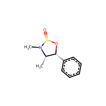 C[C@H]1[C@@H](c2ccccc2)OS(=O)N1C